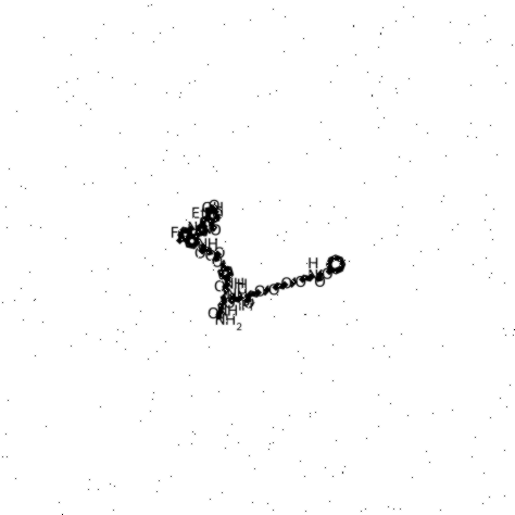 CC[C@@]1(O)C(=O)OCc2c1cc1n(c2=O)Cc2c-1nc1cc(F)c(C)c3c1c2[C@@H](NC(=O)COC(=O)OCc1ccc(NC(=O)[C@H](CCCNC(N)=O)NC(=O)[C@@H](NC(=O)CCOCCOCCOCCOCCNC(=O)COC2/C=C\CCCCC2)C(C)C)cc1)CC3